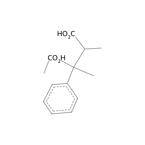 CC(=O)O.CC(C(=O)O)C(C)(C)c1ccccc1